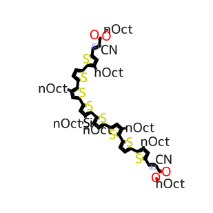 CCCCCCCCOC(=O)/C(C#N)=C/c1cc(CCCCCCCC)c(-c2ccc(-c3sc(-c4cc5c(s4)-c4sc(-c6cc(CCCCCCCC)c(-c7ccc(-c8sc(/C=C(\C#N)C(=O)OCCCCCCCC)cc8CCCCCCCC)s7)s6)cc4[Si]5(CCCCCCCC)CCCCCCCC)cc3CCCCCCCC)s2)s1